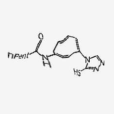 CCCCCC(=O)Nc1cccc(-n2cnnc2S)c1